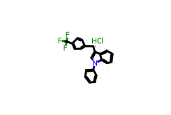 Cl.FC(F)(F)c1ccc([CH]c2cn(-c3ccccc3)c3ccccc23)cc1